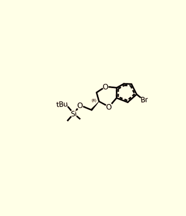 CC(C)(C)[Si](C)(C)OC[C@H]1COc2ccc(Br)cc2O1